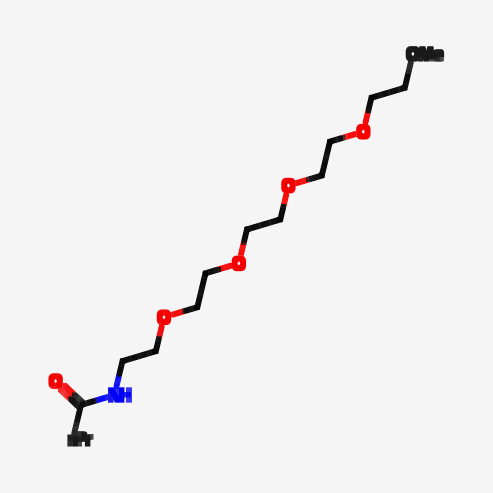 CCCC(=O)NCCOCCOCCOCCOCCOC